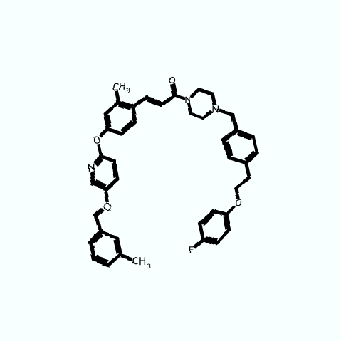 Cc1cccc(COc2ccc(Oc3ccc(C=CC(=O)N4CCN(Cc5ccc(CCOc6ccc(F)cc6)cc5)CC4)c(C)c3)nc2)c1